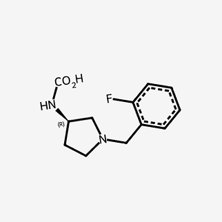 O=C(O)N[C@@H]1CCN(Cc2ccccc2F)C1